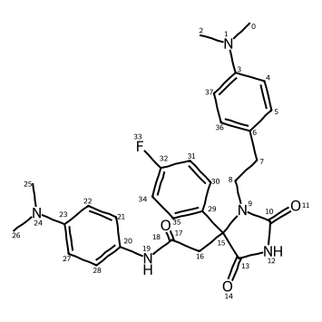 CN(C)c1ccc(CCN2C(=O)NC(=O)C2(CC(=O)Nc2ccc(N(C)C)cc2)c2ccc(F)cc2)cc1